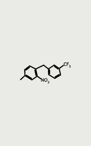 Cc1ccc(Cc2cccc(C(F)(F)F)c2)c([N+](=O)[O-])c1